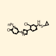 CCCn1cc(-n2cc(-c3ccc(NSC4CC4)cc3Cl)cn2)ccc1=O